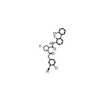 N#Cc1cc(CC(=O)N2C[C@H](F)CC2C(=O)Nc2cccc(-c3ccccc3Cl)c2F)ccc1Cl